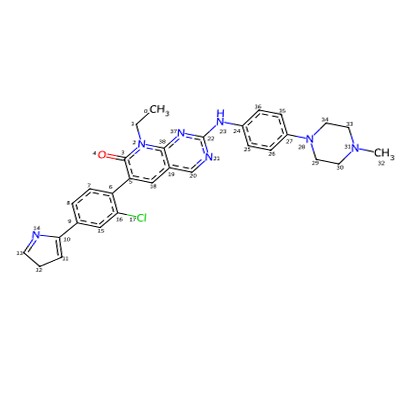 CCn1c(=O)c(-c2ccc(C3=CCC=N3)cc2Cl)cc2cnc(Nc3ccc(N4CCN(C)CC4)cc3)nc21